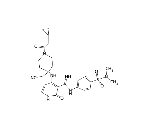 CN(C)S(=O)(=O)c1ccc(NC(=N)c2c(NC3(CC#N)CCN(C(=O)CC4CC4)CC3)cc[nH]c2=O)cc1